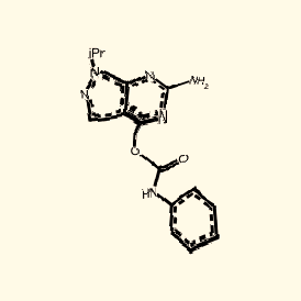 CC(C)n1ncc2c(OC(=O)Nc3ccccc3)nc(N)nc21